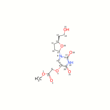 COC(=O)COc1cn(C2CC[C@@H](CCO)O2)c(=O)[nH]c1=O